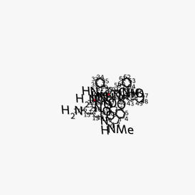 CNC(Cc1ccccc1)C(=O)NC(CCCCN)C(=O)N1CCC[C@H]1C(=O)NC(Cc1ccccc1)C(=O)N(C(=O)[C@H](N)CC1CCCCC1)[C@]([C]=O)(CCCNC(=N)N)Cc1ccccc1